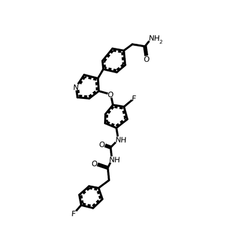 NC(=O)Cc1ccc(-c2cnccc2Oc2ccc(NC(=O)NC(=O)Cc3ccc(F)cc3)cc2F)cc1